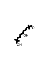 CC(C)(C=O)CCCC(O)CCCC(C)(C)CO